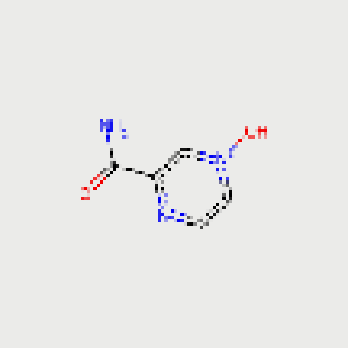 NC(=O)c1c[n+](O)ccn1